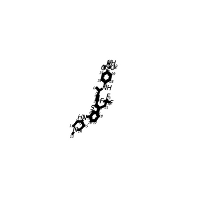 CC(C#Cc1sc2c(NC3CCN(C)CC3)cccc2c1CC(F)(F)F)Nc1ccc(S(N)(=O)=O)cc1